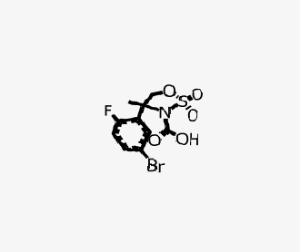 CC1(c2cc(Br)ccc2F)COS(=O)(=O)N1C(=O)O